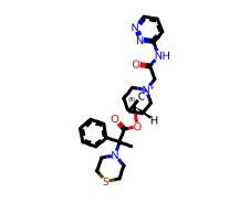 CC(C(=O)O[C@H]1C[N+]2(CC(=O)Nc3cccnn3)CCC1CC2)(c1ccccc1)N1CCSCC1